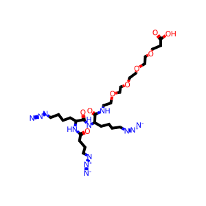 [N-]=[N+]=NCCCCC(NC(=O)CCCN=[N+]=[N-])C(=O)NC(CCCCN=[N+]=[N-])C(=O)NCCOCCOCCOCCOCCC(=O)O